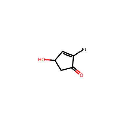 CCC1=CC(O)CC1=O